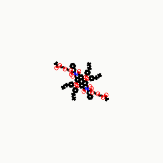 C=C(C)C(=O)OCCOCCOC(=O)C(Cc1ccccc1)N1C(=O)c2cc(Oc3ccc(C(C)(C)CC(C)(C)C)cc3)c3c4c(Oc5ccc(C(C)(C)CC(C)(C)C)cc5)cc5c6c(cc(Oc7ccc(C(C)(C)CC(C)(C)C)cc7)c(c7c(Oc8ccc(C(C)(C)CC(C)(C)C)cc8)cc(c2c37)C1=O)c64)C(=O)N(C(Cc1ccccc1)C(=O)OCCOCCOC(=O)C(=C)C)C5=O